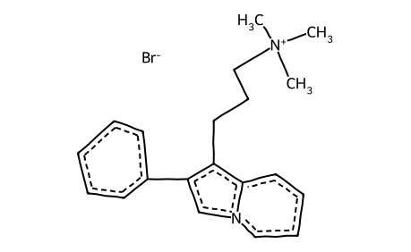 C[N+](C)(C)CCCc1c(-c2ccccc2)cn2ccccc12.[Br-]